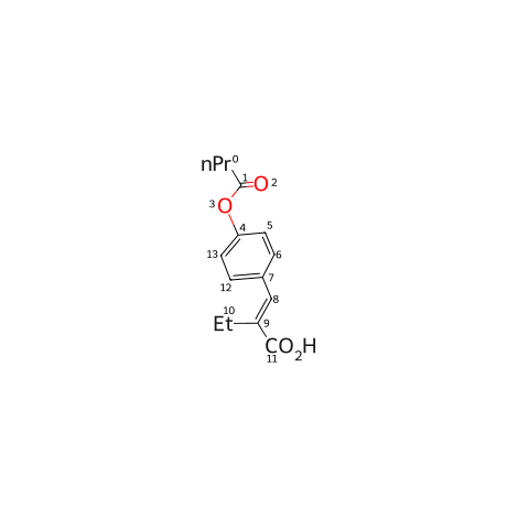 CCCC(=O)Oc1ccc(/C=C(\CC)C(=O)O)cc1